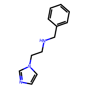 c1ccc(CNCCn2ccnc2)cc1